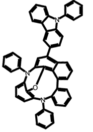 c1ccc(-n2c3ccccc3c3cc(-c4cc5c6oc7c(cccc7n5-c5ccccc5)n(-c5ccccc5)c5ccccc5c5cccc4c56)ccc32)cc1